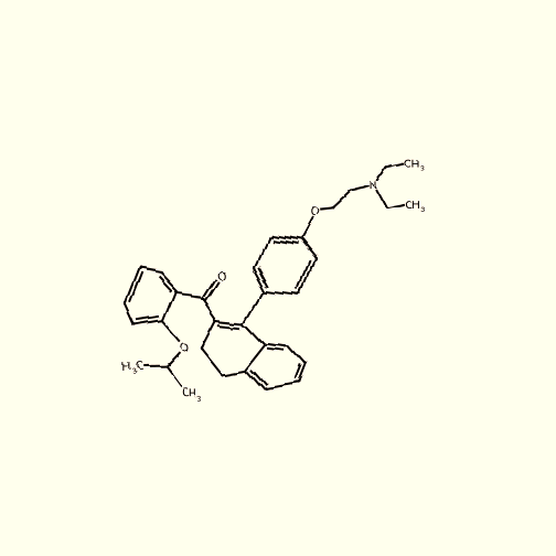 CCN(CC)CCOc1ccc(C2=C(C(=O)c3ccccc3OC(C)C)CCc3ccccc32)cc1